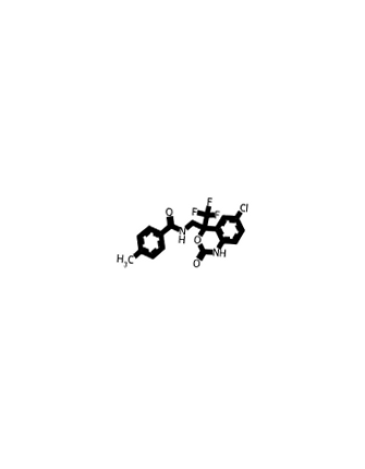 Cc1ccc(C(=O)NCC2(C(F)(F)F)OC(=O)Nc3ccc(Cl)cc32)cc1